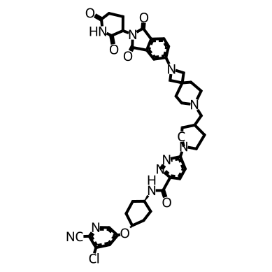 N#Cc1ncc(O[C@H]2CC[C@H](NC(=O)c3ccc(N4CCC(CN5CCC6(CC5)CN(c5ccc7c(c5)C(=O)N(C5CCC(=O)NC5=O)C7=O)C6)CC4)nn3)CC2)cc1Cl